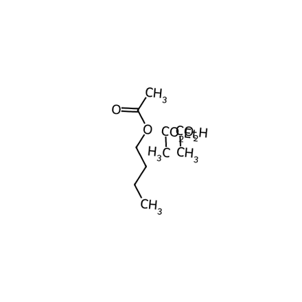 CC(=O)O.CCCCOC(C)=O.CCOC(C)=O